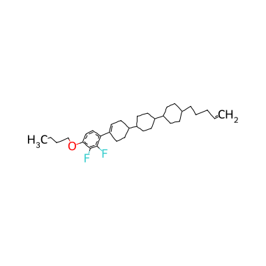 C=CCCCC1CCC(C2CCC(C3CC=C(c4ccc(OCCCC)c(F)c4F)CC3)CC2)CC1